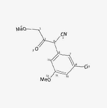 COCC(=O)C(C#N)c1cc(Cl)cc(OC)c1